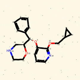 c1ccc([C@H](Oc2cccnc2OCC2CC2)[C@@H]2CNCCO2)cc1